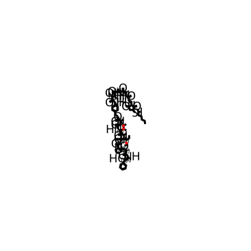 CCCCCC(C)(I)SC1CC(=O)N(CCC(=O)N[C@H](C)C(=O)N[C@@H](C)C(=O)N[C@@H](CO)C(=O)Nc2ccc(COC(=O)N(C)[C@H](C(=O)N[C@H](C(=O)N(C)[C@@H]([C@@H](C)CC)[C@@H](CC(=O)N3CCC[C@H]3[C@H](OC)[C@@H](C)C(=O)N[C@H](C)[C@@H](O)c3ccccc3)OC)C(C)C)C(C)C)cc2)C1=O